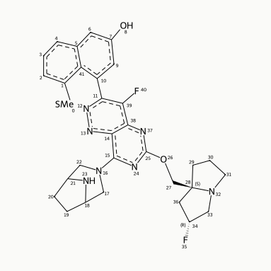 CSc1cccc2cc(O)cc(-c3nnc4c(N5CC6CCC(C5)N6)nc(OC[C@@]56CCCN5C[C@H](F)C6)nc4c3F)c12